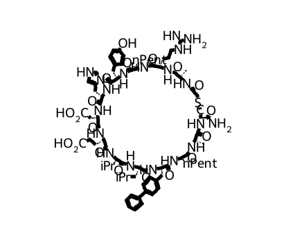 CCCCC[C@@H]1NC(=O)[C@H](Cc2ccc(-c3ccccc3)cc2)NC(=O)[C@H](CC(C)C)NC(=O)[C@H](C(C)C)NC(=O)[C@H](CCC(=O)O)NC(=O)[C@H](CC(=O)O)NC(=O)[C@H](Cc2c[nH]cn2)NC(=O)[C@H](Cc2ccc(O)cc2)NC(=O)[C@H](CCCCC)NC(=O)[C@H](CCCNC(=N)N)NC(=O)[C@H](C)NC(=O)CSC[C@@H](C(N)=O)NC(=O)[C@H](C)NC1=O